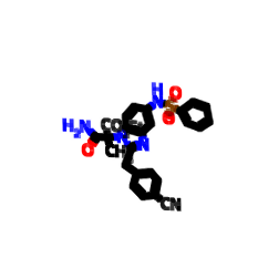 CCOC(=O)C(C)(C(N)=O)n1c(Cc2ccc(C#N)cc2)nc2cc(NS(=O)(=O)c3ccccc3)ccc21